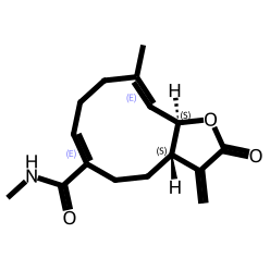 C=C1C(=O)O[C@@H]2/C=C(\C)CC/C=C(/C(=O)NC)CC[C@@H]12